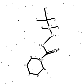 CC(C)(C)[Si](C)(C)OOC(=O)N1CCCCC1